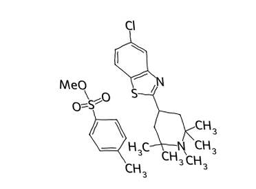 CN1C(C)(C)CC(c2nc3cc(Cl)ccc3s2)CC1(C)C.COS(=O)(=O)c1ccc(C)cc1